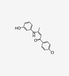 C/C(=C/C(=O)c1ccc(Cl)cc1)Nc1cccc(O)c1